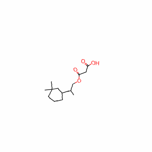 CC(COC(=O)CC(=O)O)C1CCCC(C)(C)C1